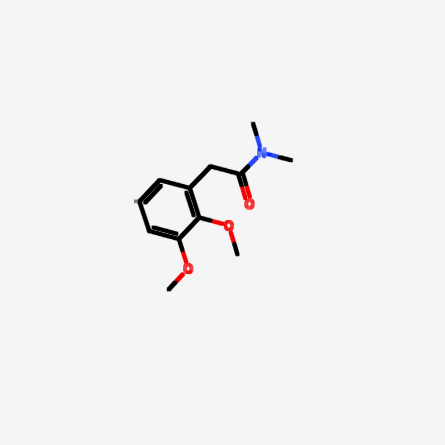 COc1c[c]cc(CC(=O)N(C)C)c1OC